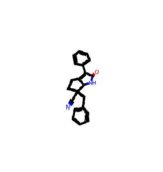 N#CC1(Cc2ccccc2)CCC2=C(c3ccccc3)C(=O)NC21